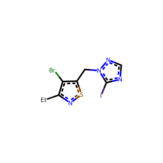 CCc1nsc(Cn2ncnc2I)c1Br